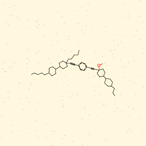 CCCCCC1CCC(C2CCC(C#Cc3ccc(C#CC4(OC)CCC(C5CCC(CCC)CC5)CC4)cc3)(CCCCC)CC2)CC1